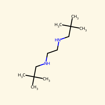 CC(C)(C)CNCCNCC(C)(C)C